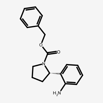 Nc1ccccc1[C@@H]1CCCN1C(=O)OCc1ccccc1